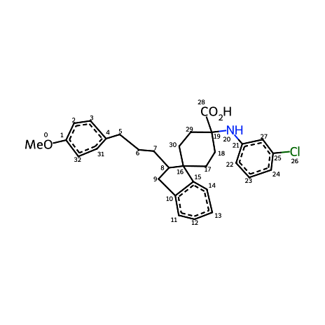 COc1ccc(CCCC2Cc3ccccc3C23CCC(Nc2cccc(Cl)c2)(C(=O)O)CC3)cc1